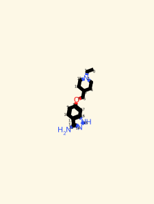 CCN1CCC(COc2ccc3c(N)n[nH]c3c2)CC1